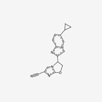 N#Cc1cn2c(n1)OCC2c1cn2cc(C3CC3)ccc2n1